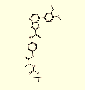 COc1ccc(-c2ccnc3cc(C(=O)Nc4ccc(OC(=O)[C@H](C)NC(=O)OC(C)(C)C)cc4)nn23)cc1OC